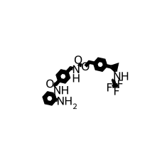 Nc1ccccc1NC(=O)c1ccc(CNC(=O)OCc2ccc(C3CC3NCC(F)(F)F)cc2)cc1